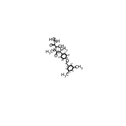 Cc1cc(C)cc(COc2ccc(C(C)C(=O)N(C)C(C)C(=O)NO)cc2)c1